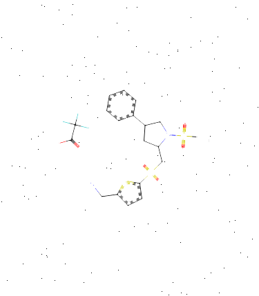 CS(=O)(=O)N1CC(c2ccccc2)CC1CS(=O)(=O)c1ccc(CN)s1.O=C(O)C(F)(F)F